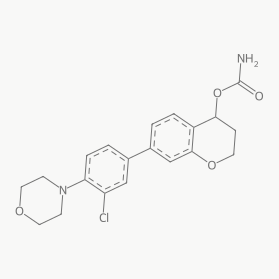 NC(=O)OC1CCOc2cc(-c3ccc(N4CCOCC4)c(Cl)c3)ccc21